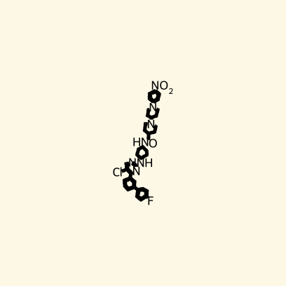 O=C(N[C@H]1CC[C@H](Nc2ncc(Cl)c(-c3cccc(-c4ccc(F)cc4)c3)n2)CC1)C1CCN(C2CCN(c3ccc([N+](=O)[O-])cc3)CC2)CC1